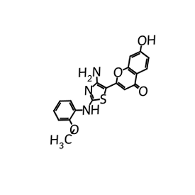 COc1ccccc1Nc1nc(N)c(-c2cc(=O)c3ccc(O)cc3o2)s1